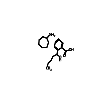 CCCCC(O)c1ccccc1C(=O)O.NC1CCCCCC1